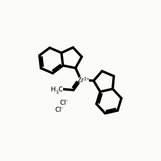 C[CH]=[Zr+2]([CH]1CCC2CC=CC=C21)[CH]1CCC2CC=CC=C21.[Cl-].[Cl-]